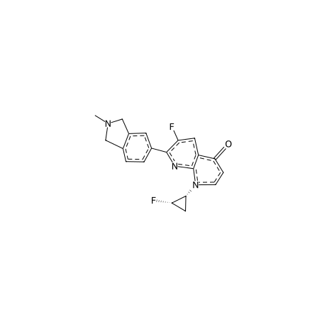 CN1Cc2ccc(-c3nc4c(cc3F)c(=O)ccn4[C@@H]3C[C@@H]3F)cc2C1